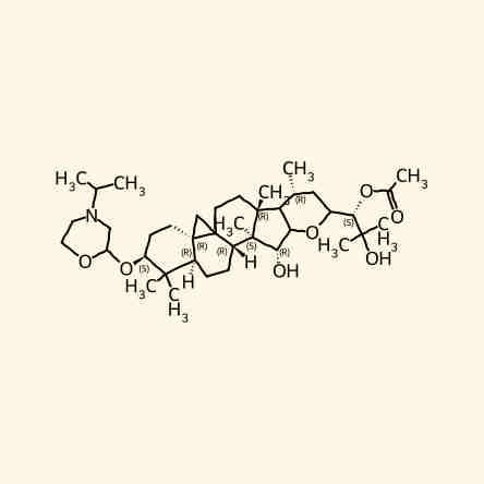 CC(=O)O[C@@H](C1C[C@@H](C)C2C(O1)[C@H](O)[C@@]1(C)[C@@H]3CC[C@H]4C(C)(C)[C@@H](OC5CN(C(C)C)CCO5)CC[C@@]45CC35CC[C@]21C)C(C)(C)O